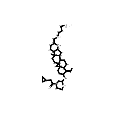 C/C=C1/C(OC2CN(C(=O)CC3CC3)CCO2)CCC23CC24CCC2(C)C5CCC(CNCCCC(=O)O)OC5CC2C4CCC13